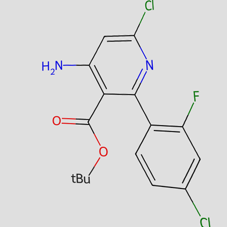 CC(C)(C)OC(=O)c1c(N)cc(Cl)nc1-c1ccc(Cl)cc1F